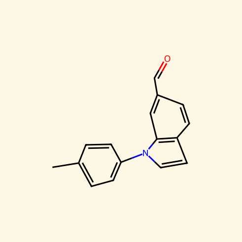 Cc1ccc(-n2ccc3ccc(C=O)cc32)cc1